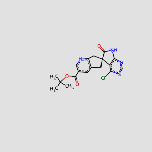 CC(C)(C)OC(=O)c1cnc2c(c1)C[C@@]1(C2)C(=O)Nc2ncnc(Cl)c21